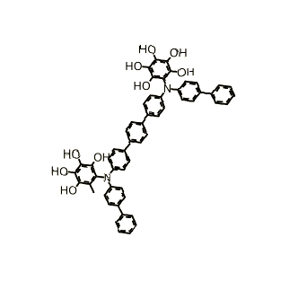 Cc1c(O)c(O)c(O)c(O)c1N(c1ccc(-c2ccccc2)cc1)c1ccc(-c2ccc(-c3ccc(N(c4ccc(-c5ccccc5)cc4)c4c(O)c(O)c(O)c(O)c4O)cc3)cc2)cc1